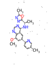 COc1cc(-c2ccc(C)cn2)cc2c(N[C@H](C)c3nnc(C)o3)ncnc12